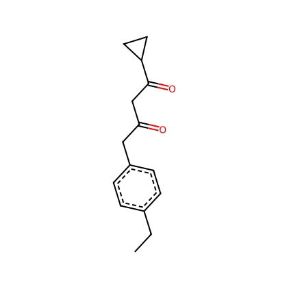 CCc1ccc(CC(=O)CC(=O)C2CC2)cc1